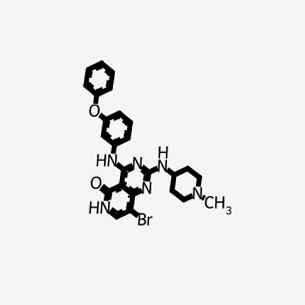 CN1CCC(Nc2nc(Nc3cccc(Oc4ccccc4)c3)c3c(=O)[nH]cc(Br)c3n2)CC1